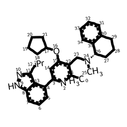 Cc1nc(-c2cccc3[nH]nc(C(C)C)c23)cc(OC2CCCC2)c1CN(C)[C@H]1CCCc2ccccc21